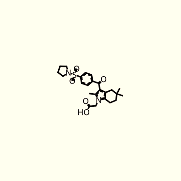 Cc1c(C(=O)c2ccc(S(=O)(=O)N3CCCC3)cc2)c2c(n1CC(=O)O)CCC(C)(C)C2